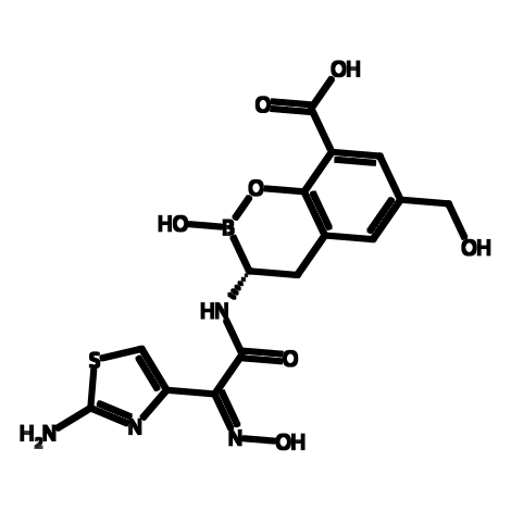 Nc1nc(/C(=N/O)C(=O)N[C@H]2Cc3cc(CO)cc(C(=O)O)c3OB2O)cs1